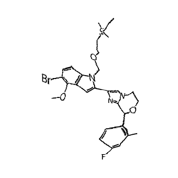 COc1c(Br)ccc2c1cc(-c1cn3c(n1)C(c1ccc(F)cc1C)OCC3)n2COCC[Si](C)(C)C